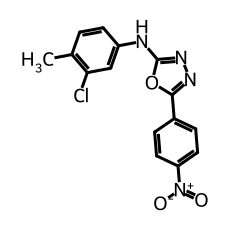 Cc1ccc(Nc2nnc(-c3ccc([N+](=O)[O-])cc3)o2)cc1Cl